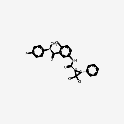 CN(C(=O)c1cc(NC(=O)[C@H]2[C@H](c3ccccc3)C2(Cl)Cl)ccc1Cl)c1ccc(F)cc1